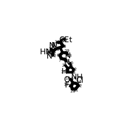 CCOc1cc(-c2ccc(N3CC4C[C@H](NC(=O)c5c(F)cccc5Cl)C[C@H]4C3)nc2)c2c3cn[nH]c3nn2c1